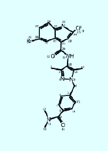 Cc1nn(Cc2ccc(C(=O)N(C)C)cc2)c(C)c1NC(=O)c1cc(C(F)(F)F)nc2ccc(Br)cc12